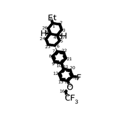 CCC1CC[C@@H]2C[C@H](c3ccc(-c4ccc(OCC(F)(F)F)c(F)c4)cc3)CC[C@@H]2C1